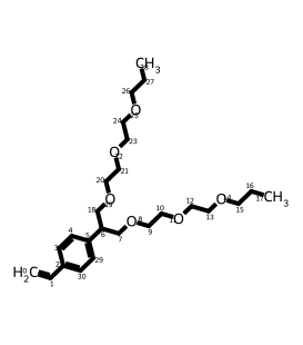 C=Cc1ccc(C(COCCOCCOCCC)COCCOCCOCCC)cc1